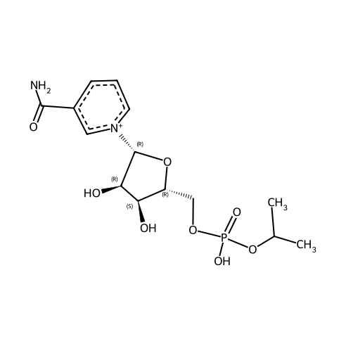 CC(C)OP(=O)(O)OC[C@H]1O[C@@H]([n+]2cccc(C(N)=O)c2)[C@H](O)[C@@H]1O